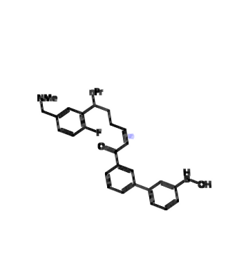 CCCC(CC/C=C\C(=O)c1cccc(-c2cccc(BO)c2)c1)c1cc(CNC)ccc1F